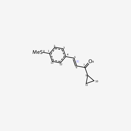 CSc1ccc(/C=C/C(=O)C2CC2)cc1